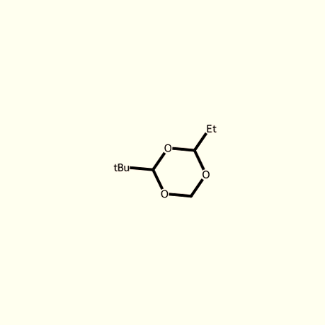 CCC1OCOC(C(C)(C)C)O1